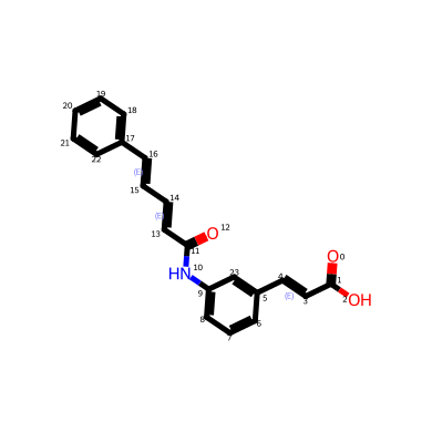 O=C(O)/C=C/c1cccc(NC(=O)/C=C/C=C/c2ccccc2)c1